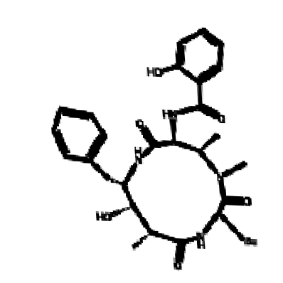 CCC(C)C1NC(=O)[C@H](C)[C@H](O)[C@H](Cc2ccccc2)NC(=O)[C@@H](NC(=O)c2ccccc2O)[C@@H](C)N(C)C1=O